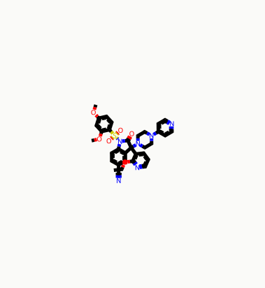 CCOc1ncccc1C1(N2CCN(c3ccncc3)CC2)C(=O)N(S(=O)(=O)c2ccc(OC)cc2OC)c2ccc(C#N)cc21